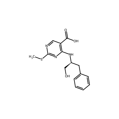 CSc1ncc(C(=O)O)c(N[C@H](CO)Cc2ccccc2)n1